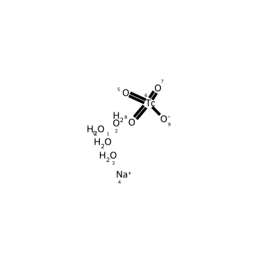 O.O.O.O.[Na+].[O]=[Tc](=[O])(=[O])[O-]